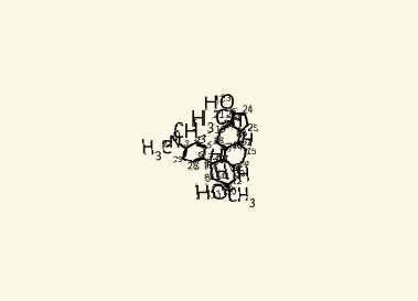 CN(C)c1ccc([C@@H]2C[C@@](C)(O)C[C@@H]3CC[C@@H]4[C@H](CC[C@]5(C)[C@@H](O)CC[C@@H]45)[C@H]32)cc1